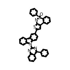 O=S1(c2ccccc2)=Nc2sc(-c3ccc4c(c3)c3ccccc3n4-c3nc(-c4ccccc4)c4ccccc4n3)cc2-c2ccccc21